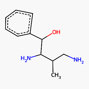 CC(CN)C(N)C(O)c1ccccc1